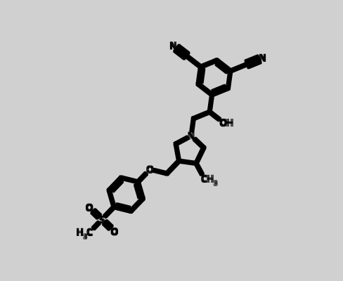 CC1CN(CC(O)c2cc(C#N)cc(C#N)c2)CC1COc1ccc(S(C)(=O)=O)cc1